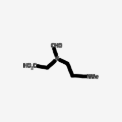 CNCCN(C=O)CC(=O)O